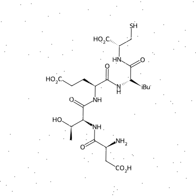 CC[C@H](C)[C@H](NC(=O)[C@H](CCC(=O)O)NC(=O)[C@@H](NC(=O)[C@@H](N)CC(=O)O)[C@@H](C)O)C(=O)N[C@@H](CS)C(=O)O